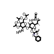 CC[C@H](C)C1OC(O/C(=N/c2ccccc2)C(F)(F)F)C(O[C@H]2OC(COC(C)=O)[C@@H](OC(C)=O)C(OC(C)=O)C2N=[N+]=[N-])[C@@H](C)[C@@H]1PBB=O